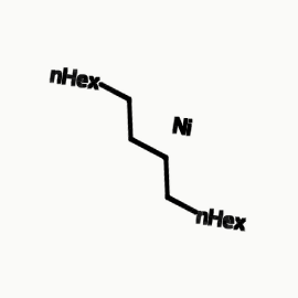 CCCCCCCCCCCCCCCC.[Ni]